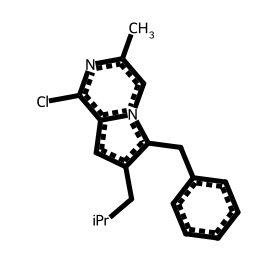 Cc1cn2c(Cc3ccccc3)c(CC(C)C)cc2c(Cl)n1